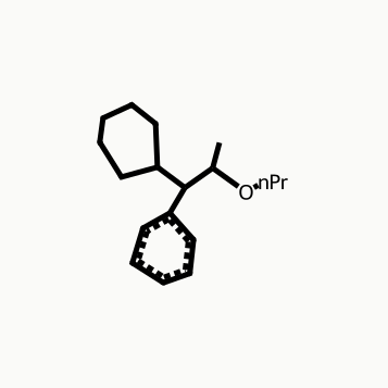 CCCOC(C)C(c1ccccc1)C1CCCCC1